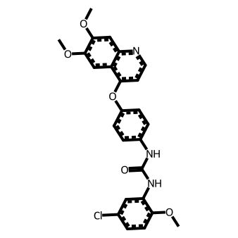 COc1ccc(Cl)cc1NC(=O)Nc1ccc(Oc2ccnc3cc(OC)c(OC)cc23)cc1